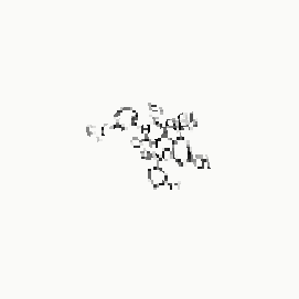 CC1=C(C#N)[C@@H](c2ccc(C#N)cc2S(C)(=O)=O)N(S(=O)(=O)c2ccc(F)c(Cl)c2)C(=O)N1c1cccc(C(F)(F)F)c1